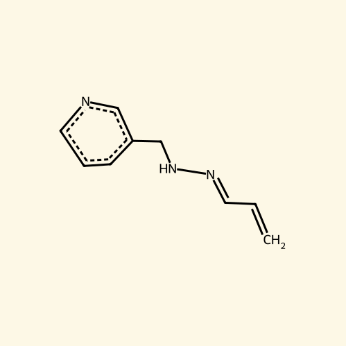 C=CC=NNCc1cccnc1